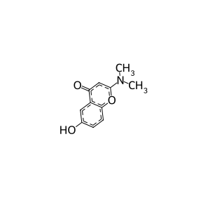 CN(C)c1cc(=O)c2cc(O)ccc2o1